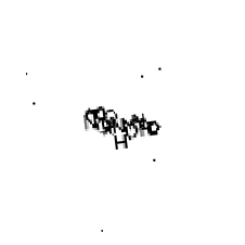 C[C@@H](Oc1cccc2cccnc12)C(=O)NCC(O)CN1Cc2ccccc2C1